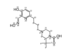 CC(C)(C)C1CN(CCCCc2ccc(O)c(C=NO)n2)CCN1C(=O)O